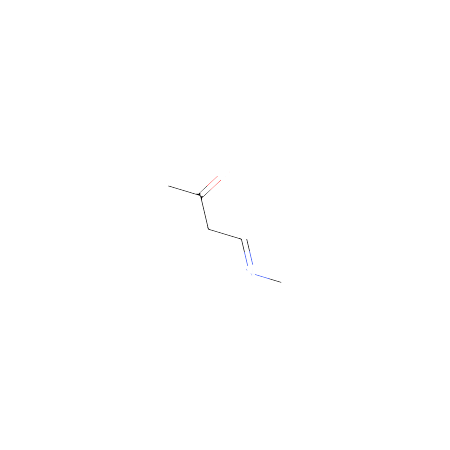 CN=CCC(C)=O